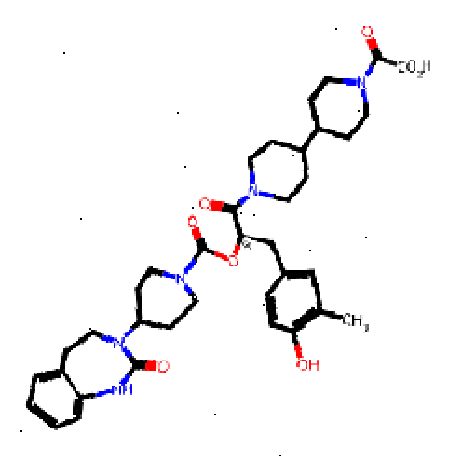 Cc1cc(C[C@@H](OC(=O)N2CCC(N3CCc4ccccc4NC3=O)CC2)C(=O)N2CCC(C3CCN(C(=O)C(=O)O)CC3)CC2)ccc1O